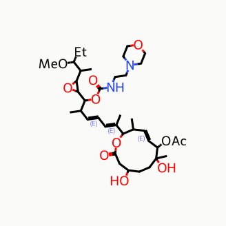 CCC(OC)C(C)C1OC1C(OC(=O)NCCN1CCOCC1)C(C)/C=C/C=C(\C)C1OC(=O)CC(O)CCC(C)(O)C(OC(C)=O)/C=C/C1C